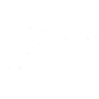 Nc1cnc2c(c1)N(CCNCCCn1ccnc1)CCN2CCNCCCn1ccnc1